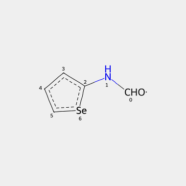 O=[C]Nc1ccc[se]1